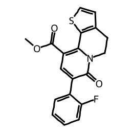 COC(=O)c1cc(-c2ccccc2F)c(=O)n2c1-c1sccc1CC2